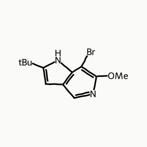 COc1ncc2cc(C(C)(C)C)[nH]c2c1Br